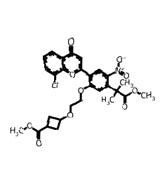 COC(=O)C1CC(OCCOc2cc(C(C)(C)C(=O)OC)c([N+](=O)[O-])cc2-c2cc(=O)c3cccc(Cl)c3o2)C1